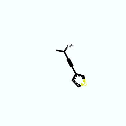 CCCC(C)C#Cc1ccsc1